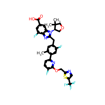 Cc1cc(Cc2nc3c(F)cc(C(=O)O)cc3n2[C@@H]2COCC2(C)C)c(F)cc1-c1ccc(F)c(OCc2ncc(C(F)(F)F)s2)n1